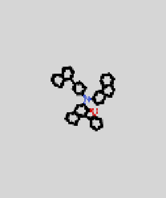 c1ccc2c(-c3ccc(N(c4ccc5ccc6ccccc6c5c4)c4cc5ccccc5c5c4oc4ccccc45)cc3)cccc2c1